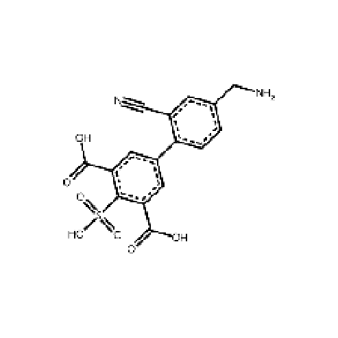 N#Cc1cc(CN)ccc1-c1cc(C(=O)O)c(S(=O)(=O)O)c(C(=O)O)c1